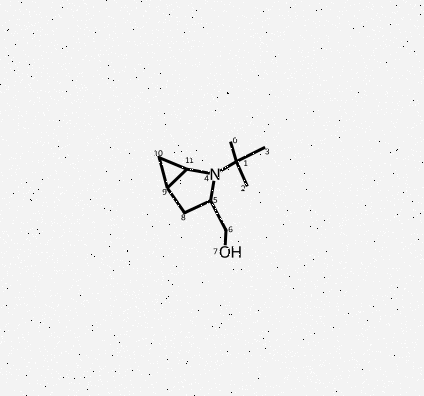 CC(C)(C)N1C(CO)CC2CC21